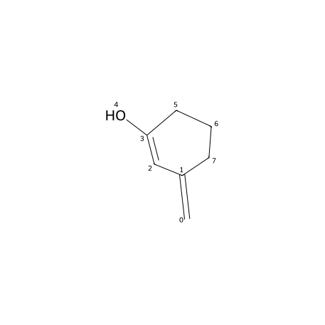 C=C1C=C(O)CCC1